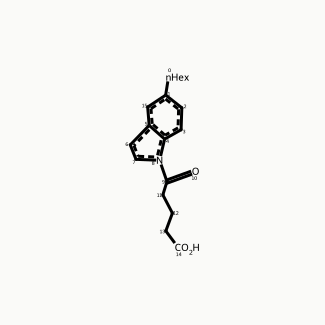 CCCCCCc1ccc2c(ccn2C(=O)CCCC(=O)O)c1